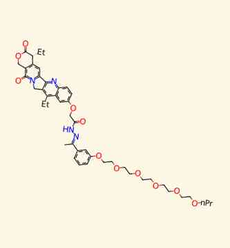 CCCOCCOCCOCCOCCOCCOc1cccc(/C(C)=N/NC(=O)COc2ccc3nc4c(c(CC)c3c2)Cn2c-4cc3c(c2=O)COC(=O)[C@@H]3CC)c1